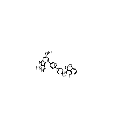 CCOc1cc(-c2ccc(N3CCC4(CC3)CCN4C(=O)c3c(F)cccc3Cl)nc2)c2c3cn[nH]c3nn2c1